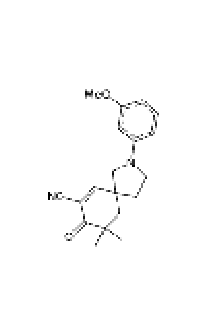 COc1cccc(N2CCC3(C=C(C#N)C(=O)C(C)(C)C3)C2)c1